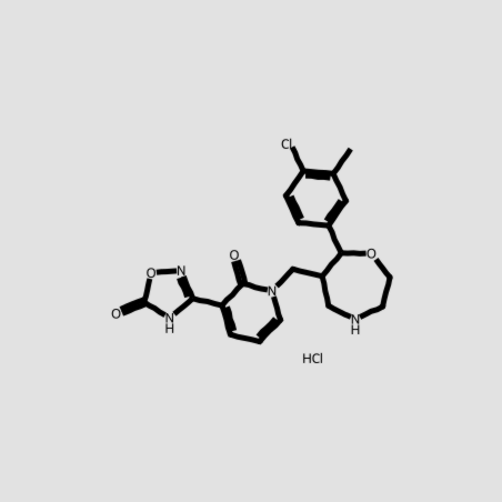 Cc1cc(C2OCCNCC2Cn2cccc(-c3noc(=O)[nH]3)c2=O)ccc1Cl.Cl